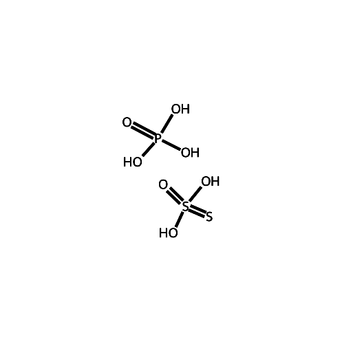 O=P(O)(O)O.O=S(O)(O)=S